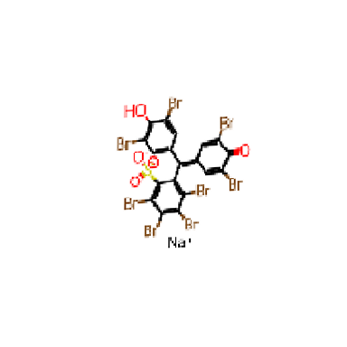 O=C1C(Br)=CC(=C(c2cc(Br)c(O)c(Br)c2)c2c(Br)c(Br)c(Br)c(Br)c2S(=O)(=O)[O-])C=C1Br.[Na+]